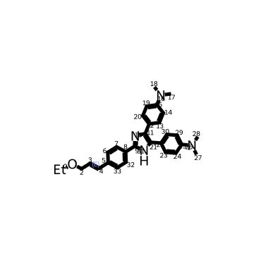 CCOC/C=C/c1ccc(-c2nc(-c3ccc(N(C)C)cc3)c(-c3ccc(N(C)C)cc3)[nH]2)cc1